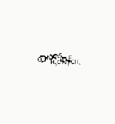 Cn1nc(C(C)(F)F)cc1SN1CC2(C1)CN(C1CCOCC1)C2